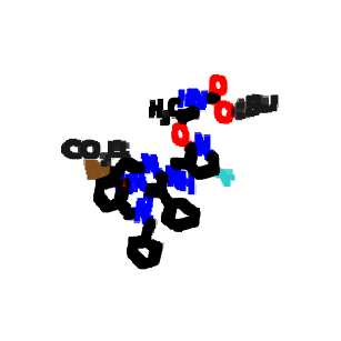 CCOC(=O)c1c(Br)nn2c(N(Cc3ccccc3)Cc3ccccc3)c(-c3ccccc3)c(NCc3cc(F)cnc3OC(C)CNC(=O)OC(C)(C)C)nc12